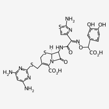 Nc1cc(N)nc(SCC2=C(C(=O)O)N3C(=O)C(NC(=O)/C(=N\OC(C(=O)O)c4ccc(O)c(O)c4)c4csc(N)n4)[C@@H]3SC2)n1